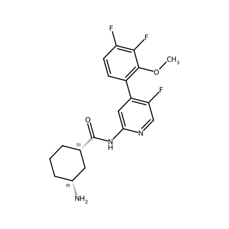 COc1c(-c2cc(NC(=O)[C@H]3CCC[C@@H](N)C3)ncc2F)ccc(F)c1F